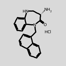 Cl.N[C@H]1CNc2ccccc2N(Cc2cccc3ccccc23)C1=O